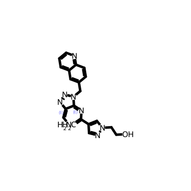 C=C(/N=C1\C(=C/N)N=NN1Cc1ccc2ncccc2c1)c1cnn(CCO)c1